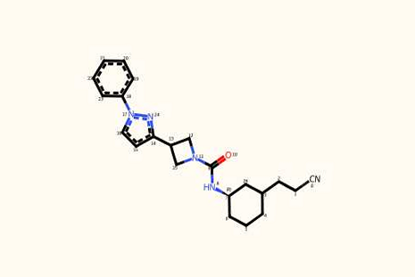 N#CCCC1CCC[C@@H](NC(=O)N2CC(c3ccn(-c4ccccc4)n3)C2)C1